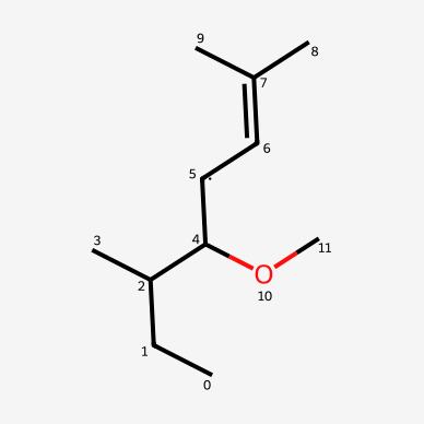 CCC(C)C([CH]C=C(C)C)OC